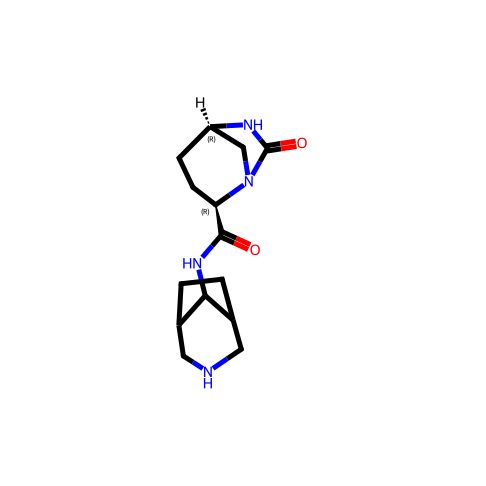 O=C(NC1C2CCC1CNC2)[C@H]1CC[C@@H]2CN1C(=O)N2